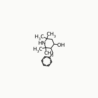 CC1(C)CC(O)C(Cc2ccccc2)C(C)(C)N1